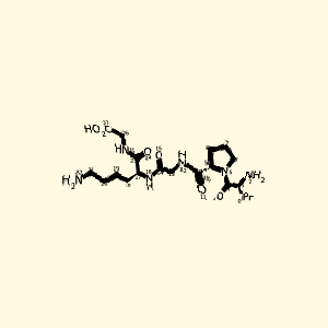 CC(C)[C@H](N)C(=O)N1CCC[C@H]1C(=O)NCC(=O)N[C@@H](CCCCN)C(=O)NCC(=O)O